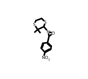 CC1(C)SCCSC1N1OC1c1ccc([N+](=O)[O-])cc1